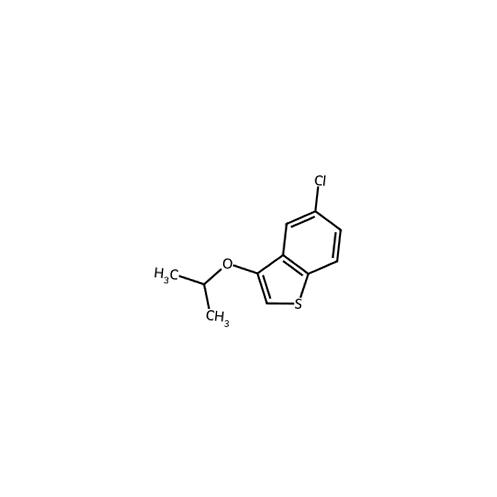 CC(C)Oc1csc2ccc(Cl)cc12